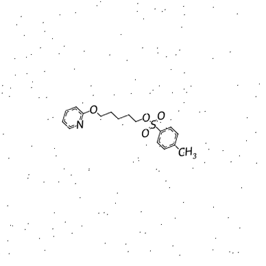 Cc1ccc(S(=O)(=O)OCCCCCOc2ccccn2)cc1